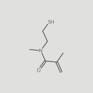 C=C(C)C(=O)N(C)CCS